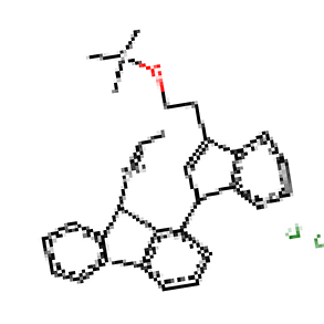 C[CH]=[Zr+2][CH]1c2ccccc2-c2cccc(C3C=C(CCO[Si](C)(C)C)c4ccccc43)c21.[Cl-].[Cl-]